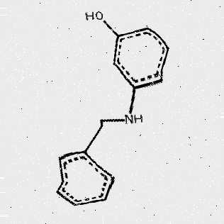 Oc1[c]ccc(NCc2ccccc2)c1